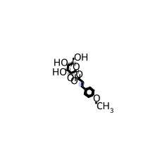 CCOc1ccc(/C=C/C(=O)O[C@@H]2O[C@H](CO)[C@@H](O)[C@H](O)[C@H]2O)cc1